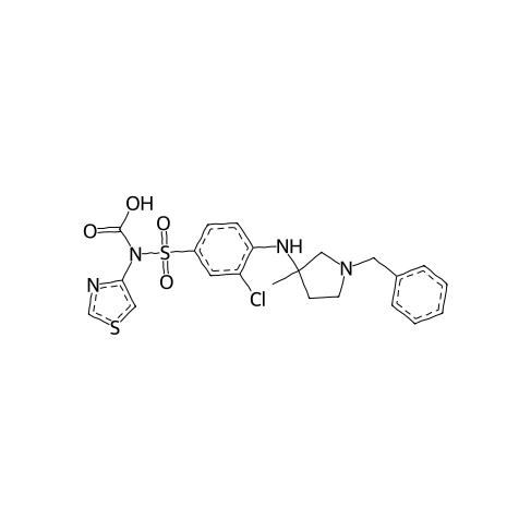 CC1(Nc2ccc(S(=O)(=O)N(C(=O)O)c3cscn3)cc2Cl)CCN(Cc2ccccc2)C1